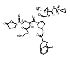 C=C[C@@H]1C[C@]1(NC(=O)[C@@H]1CC(OC(=O)N2Cc3cccc(F)c3C2)CN1C(=O)[C@H](CNC(=O)[C@@H]1CCC(=O)O1)NC(=O)OC(C)(C)C)C(=O)NS(=O)(=O)C1CC1